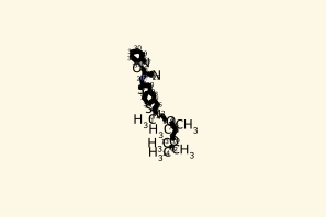 CN(CCOC(C)(C)CCOC(C)(C)C)c1cc2cc3cc(/C=C(\C#N)c4nc5ccccc5o4)sc3cc2s1